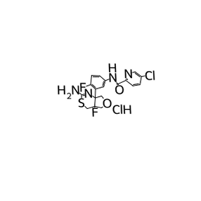 Cl.NC1=NC2(c3cc(NC(=O)c4ccc(Cl)cn4)ccc3F)COCC2(F)CS1